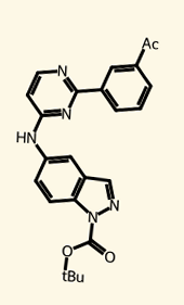 CC(=O)c1cccc(-c2nccc(Nc3ccc4c(cnn4C(=O)OC(C)(C)C)c3)n2)c1